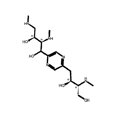 CNC[C@H](O)[C@@H](NC)C(O)c1cnc(C[C@H](O)[C@@H](CO)NC)cn1